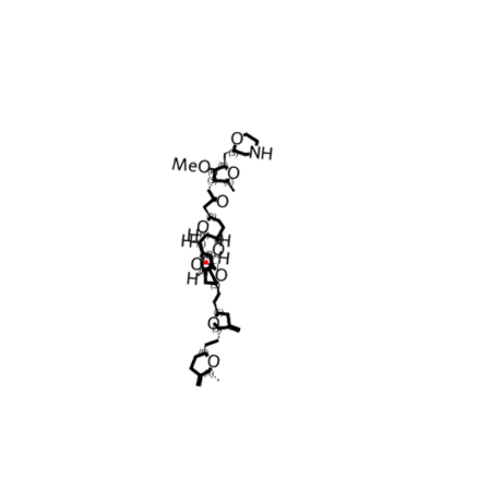 C=C1C[C@H](CC[C@@]23C[C@H]4OC5[C@@H](O[C@H]6CC[C@H](CC(=O)C[C@@H]7[C@@H](OC)[C@@H](C[C@H]8CNCCO8)O[C@H]7C)O[C@@H]6[C@@H]5O2)[C@H]4O3)O[C@H]1CC[C@H]1CCC(=C)[C@@H](C)O1